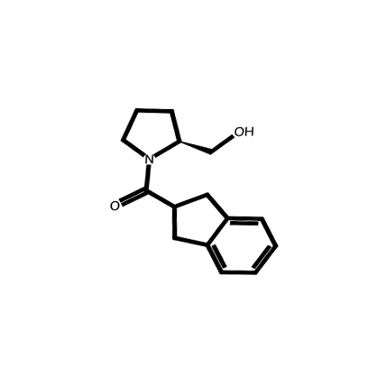 O=C(C1Cc2ccccc2C1)N1CCC[C@H]1CO